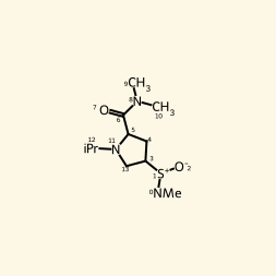 CN[S+]([O-])C1CC(C(=O)N(C)C)N(C(C)C)C1